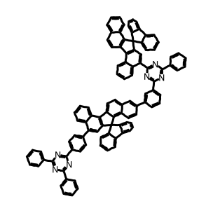 c1ccc(-c2nc(-c3ccccc3)nc(-c3ccc(-c4cc5c(c6ccccc46)-c4ccc6cc(-c7cccc(-c8nc(-c9ccccc9)nc(-c9cc%10c(c%11ccccc9%11)-c9ccc%11ccccc%11c9C%109c%10ccccc%10-c%10ccccc%109)n8)c7)ccc6c4C54c5ccccc5-c5ccccc54)cc3)n2)cc1